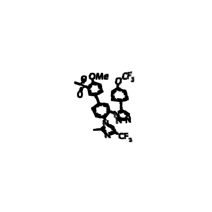 COc1ccc(-c2ccc(-n3cc(C(F)(F)F)nc3C)c(-n3nncc3-c3ccc(OC(F)(F)F)cc3)c2)cc1S(C)(=O)=O